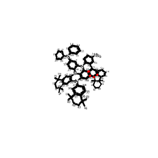 CC(C)(C)c1ccc(N2c3cc(N(c4ccccc4)c4ccccc4)ccc3B3c4cc5c(cc4N(c4ccc6c(c4)C(C)(C)CCC6(C)C)c4cc(N6c7ccccc7C7(C)CCCCC67C)cc2c43)C(C)(C)CCC5(C)C)c(-c2ccccc2)c1